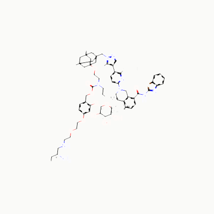 COCCN(CCOC12CC3(C)CC(C)(CC(Cn4ncc(-c5ccc(N6CCc7c(OC)ccc(C(=O)Nc8nc9ccccc9s8)c7C6)nc5C(=O)O)c4C)(C3)C1)C2)C(=O)OCc1ccc(OCCOCCNC[C@@H](N)CS(=O)(=O)O)cc1O[C@@H]1O[C@H](C(=O)O)[C@@H](O)[C@H](O)[C@H]1O